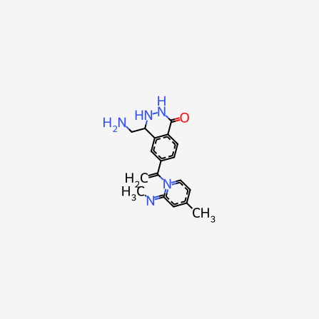 C=C(c1ccc2c(c1)C(CN)NNC2=O)n1ccc(C)c/c1=N/C